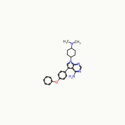 CN(C)C1CCC(n2cc(-c3ccc(Oc4ccccc4)cc3)c3c(N)ncnc32)CC1